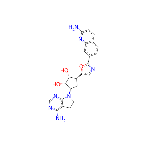 Nc1ccc2ccc(-c3ncc([C@H]4C[C@@H](N5CCc6c(N)ncnc65)[C@H](O)[C@@H]4O)o3)cc2n1